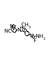 C[C@@H]1CN(c2ccc(C#N)n3nccc23)CC2=C3CC=C(N4C[C@@H](N)[C@@H](F)C4)C=C3CN21